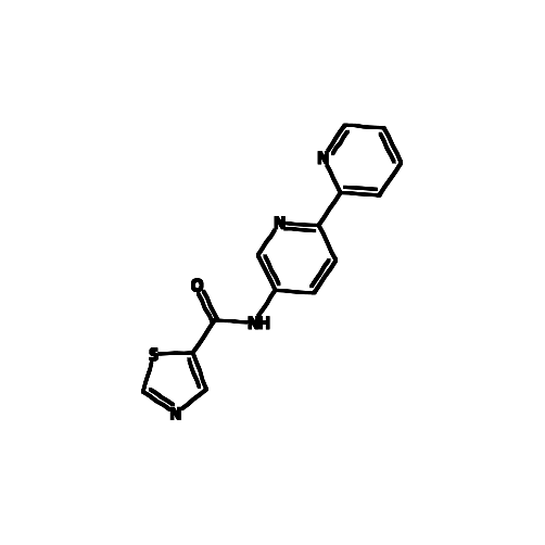 O=C(Nc1ccc(-c2ccccn2)nc1)c1cncs1